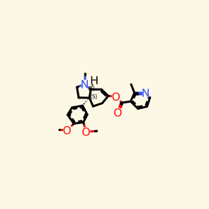 COc1ccc([C@@]23CCC(OC(=O)c4cccnc4C)=C[C@@H]2N(C)CC3)cc1OC